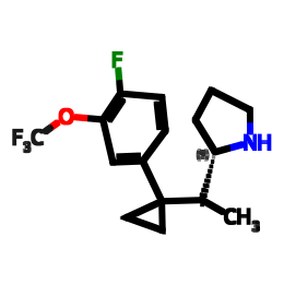 C[C]([C@@H]1CCCN1)C1(c2ccc(F)c(OC(F)(F)F)c2)CC1